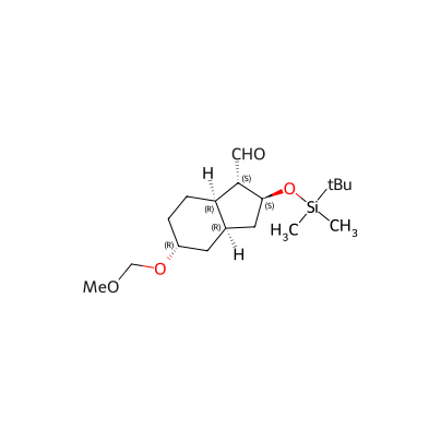 COCO[C@@H]1CC[C@@H]2[C@H](C1)C[C@H](O[Si](C)(C)C(C)(C)C)[C@H]2C=O